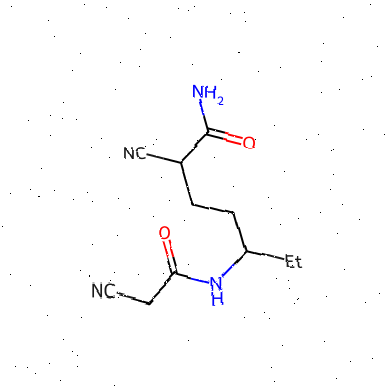 CCC(CCC(C#N)C(N)=O)NC(=O)CC#N